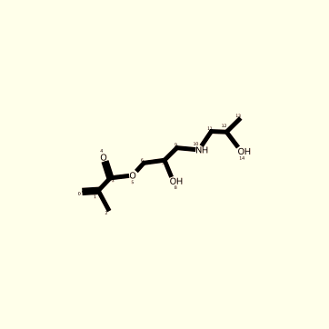 C=C(C)C(=O)OCC(O)CNCC(C)O